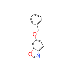 c1ccc(COc2ccc3ncoc3c2)cc1